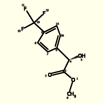 COC(=O)[C@@H](O)c1ccc(C(F)(F)F)cc1